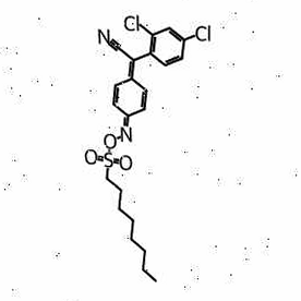 CCCCCCCCS(=O)(=O)ON=C1C=CC(=C(C#N)c2ccc(Cl)cc2Cl)C=C1